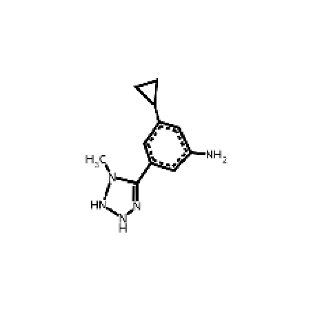 CN1NNN=C1c1cc(N)cc(C2CC2)c1